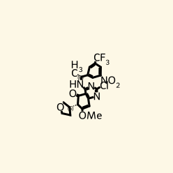 COC1=Cc2nc(Cl)nc(N[C@H](C)c3cc([N+](=O)[O-])cc(C(F)(F)F)c3)c2C(=O)C1[C@@H]1CCOC1